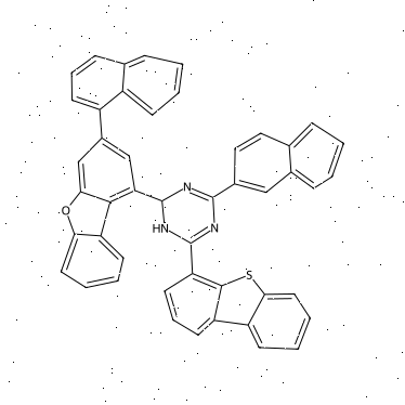 c1ccc2cc(C3=NC(c4cc(-c5cccc6ccccc56)cc5oc6ccccc6c45)NC(c4cccc5c4sc4ccccc45)=N3)ccc2c1